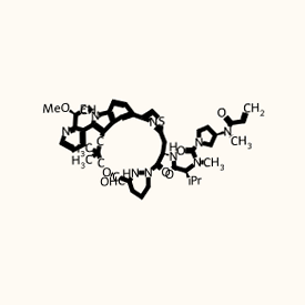 C=CC(=O)N(C)[C@@H]1CCN(C(=O)N(C)[C@H](C(=O)N[C@H]2Cc3nc(cs3)-c3ccc4c(c3)c(c(-c3cccnc3[C@H](C)OC)n4CC)CC(C)(C)COC[C@@]3(C=O)CCCN(N3)C2=O)C(C)C)C1